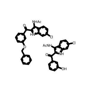 CC(=O)Nc1c(C(=O)c2cccc(O)c2)[nH]c2cc(Cl)ccc12.CC(=O)Nc1c(C(=O)c2cccc(OCc3ccccc3)c2)[nH]c2cc(Cl)ccc12